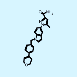 Cc1cc(C(N)=O)nn1-c1ccc2c(ccn2Cc2ccc(C3=CCOCC3)cc2)c1